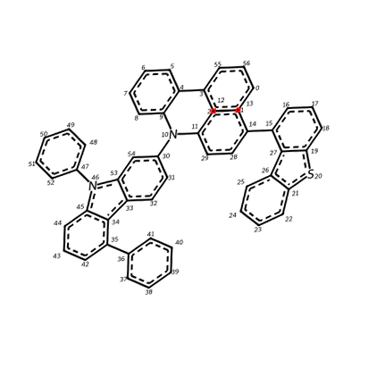 c1ccc(-c2ccccc2N(c2ccc(-c3cccc4sc5ccccc5c34)cc2)c2ccc3c4c(-c5ccccc5)cccc4n(-c4ccccc4)c3c2)cc1